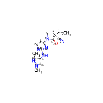 CC[C@]1(C#N)CCN(c2ccnc(Nc3cn(C)nc3C)n2)C1=O